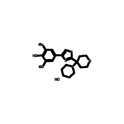 CC(C)(C)c1cc(-c2csc(C3(N4CCCCC4)CCOCC3)n2)cc(C(C)(C)C)c1O.Cl